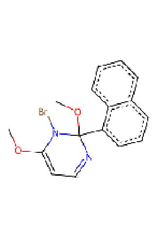 COC1=C[C]=NC(OC)(c2cccc3ccccc23)N1Br